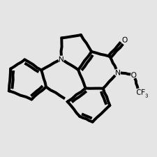 Cc1ccccc1N1CCc2c1c1ccccc1n(OC(F)(F)F)c2=O